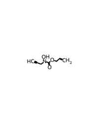 C#CCN(O)C(=O)OCC=C